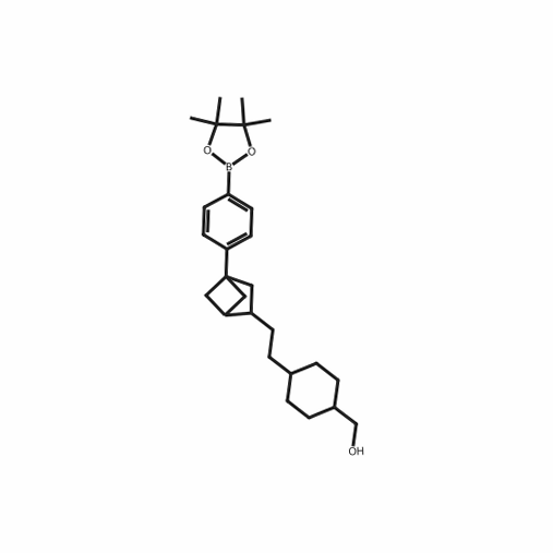 CC1(C)OB(c2ccc(C34CC(CCC5CCC(CO)CC5)C(C3)C4)cc2)OC1(C)C